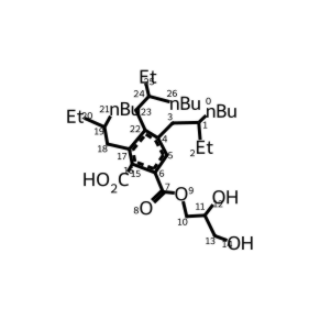 CCCCC(CC)Cc1cc(C(=O)OCC(O)CO)c(C(=O)O)c(CC(CC)CCCC)c1CC(CC)CCCC